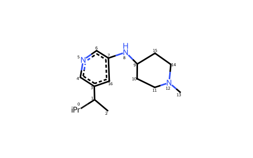 CC(C)C(C)c1cncc(NC2CCN(C)CC2)c1